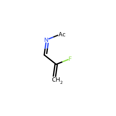 C=C(F)/C=N\C(C)=O